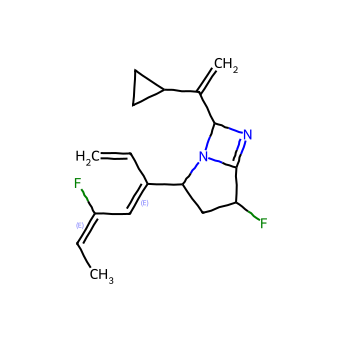 C=C/C(=C\C(F)=C/C)C1CC(F)C2=NC(C(=C)C3CC3)N21